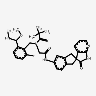 CNC(OC)c1cccc(F)c1CN(CC(=O)Nc1ccc2c(c1)CC1(C2)C(=O)Nc2ncccc21)C(=O)C(C)(C)C